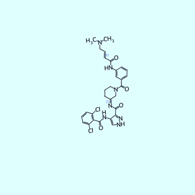 CN(C)C/C=C/C(=O)Nc1cccc(C(=O)N2CCC/C(=N/C(=O)c3n[nH]cc3NC(=O)c3c(Cl)cccc3Cl)C2)c1